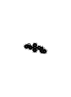 CC1(C)c2ccc(-c3c4ccccc4c(-c4ccc5c(c4)oc4ccccc45)c4ccccc34)cc2-c2ccc3ccccc3c21